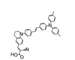 Cc1ccc(N(c2ccc(C)cc2)c2ccc(/C=C/c3ccc(N4CCCc5cc(/C=C(\C#N)C(=O)O)ccc54)cc3)cc2)cc1